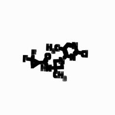 Cc1cnc(Cl)nc1N1CC(C)(NC(=O)C2CC2(F)F)C1